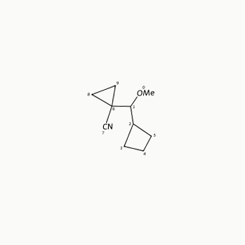 COC(C1CCC1)C1(C#N)CC1